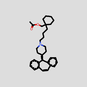 CC(=O)OCC1(CCCCN2CCC(=C3c4ccccc4C=Cc4ccccc43)CC2)CCCCC1